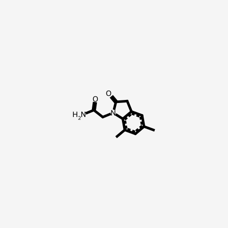 Cc1cc(C)c2c(c1)CC(=O)N2CC(N)=O